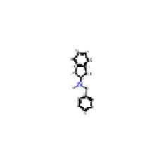 CN(Cc1ccccc1)C1Cc2ccccc2C1